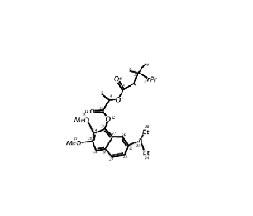 CCCC(C)(C)CC(=O)OC(C)C(=O)Oc1c(OC)c(OC)cc2ccc(N(CC)CC)cc12